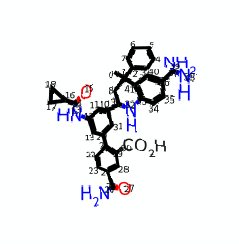 CC1(c2ccccc2)CC(c2cc(NC(=O)C3CC3)cc(-c3ccc(C(N)=O)cc3C(=O)O)c2)Nc2ccc(C(=N)N)cc21